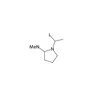 CNC1CCCN1C(C)I